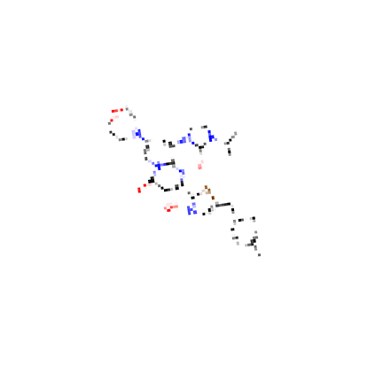 Cc1ccc(Cc2cnc(-c3nc4c(N5CCN(C(C)C)C5=O)cc(N5CCOCC5)cn4c(=O)c3O)s2)cc1